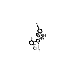 COc1cccc(F)c1-c1cc(S(=O)(=O)Nc2ccc(C#N)cc2F)c[nH]1